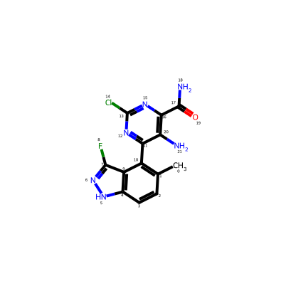 Cc1ccc2[nH]nc(F)c2c1-c1nc(Cl)nc(C(N)=O)c1N